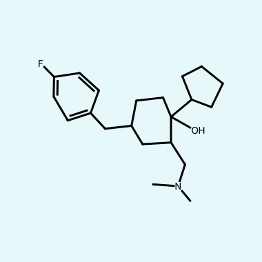 CN(C)CC1CC(Cc2ccc(F)cc2)CCC1(O)C1CCCC1